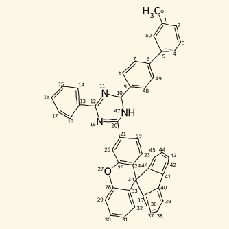 Cc1cccc(-c2ccc(C3N=C(c4ccccc4)N=C(c4ccc5c(c4)Oc4ccccc4C54c5ccccc5-c5ccccc54)N3)cc2)c1